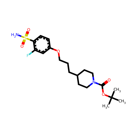 CC(C)(C)OC(=O)N1CCC(CCCOc2ccc(S(N)(=O)=O)c(F)c2)CC1